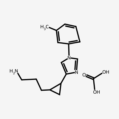 Cc1cccc(-n2cnc(C3CC3CCCN)c2)c1.O=C(O)O